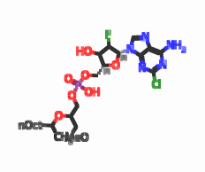 CCCCCCCCC(C)OC(COC)COP(=O)(O)OC[C@H]1O[C@@H](n2cnc3c(N)nc(Cl)nc32)C(F)C1O